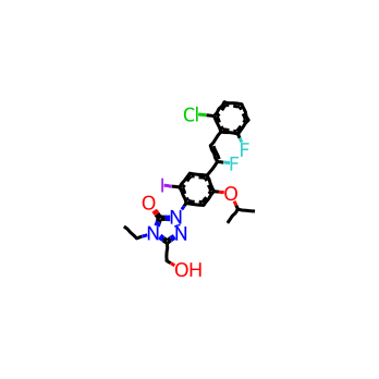 CCn1c(CO)nn(-c2cc(OC(C)C)c(/C(F)=C/c3c(F)cccc3Cl)cc2I)c1=O